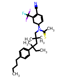 CCCCc1ccc(C(C)(CC)CC(C)(C)CN(C(C)=S)C2C=CC(C#N)=C(C(F)(I)I)C2)cc1